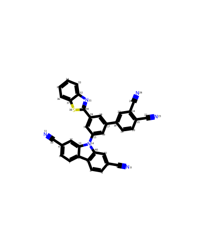 N#Cc1ccc2c3ccc(C#N)cc3n(-c3cc(-c4ccc(C#N)c(C#N)c4)cc(-c4nc5ccccc5s4)c3)c2c1